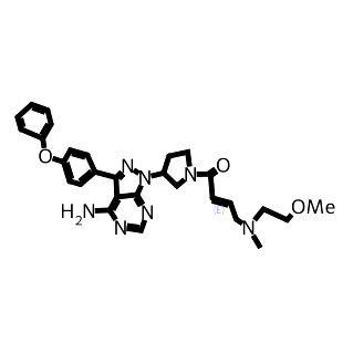 COCCN(C)C/C=C/C(=O)N1CCC(n2nc(-c3ccc(Oc4ccccc4)cc3)c3c(N)ncnc32)C1